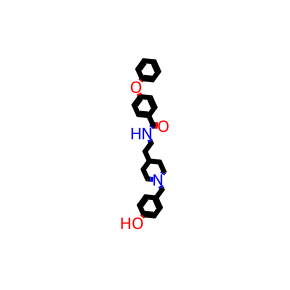 O=C(NCCC1CCN(Cc2ccc(O)cc2)CC1)c1ccc(Oc2ccccc2)cc1